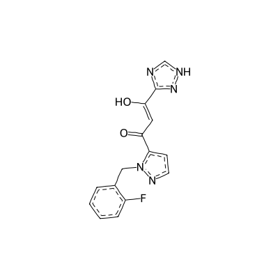 O=C(C=C(O)c1nc[nH]n1)c1ccnn1Cc1ccccc1F